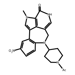 CC(=O)N1CCC(N2Cc3c[nH]c(=O)c4c3c(cn4C)-c3cc([N+](=O)[O-])ccc32)CC1